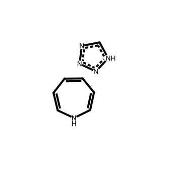 C1=CC=CNC=C1.c1nnn[nH]1